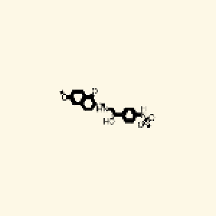 COc1ccc2c(c1)CC[C@@H](CNC[C@@H](O)c1ccc(NS(C)(=O)=O)cc1)C2=O